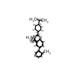 Cc1ccncc1-c1ccc2nc(C3CCC(C(C)C)CC3)ncc2c1.NN